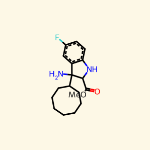 COC(=O)C1Nc2ccc(F)cc2C1(N)C1CCCCCCC1